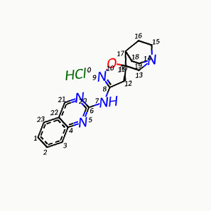 Cl.c1ccc2nc(NC3=NO[C@@]4(C3)CN3CCC4CC3)ncc2c1